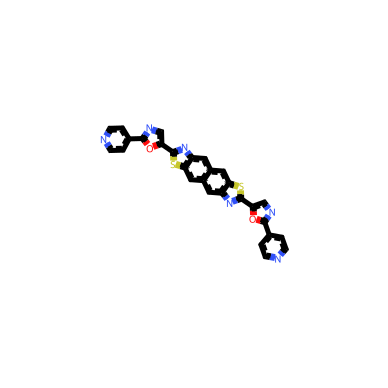 c1cc(-c2ncc(-c3nc4cc5cc6sc(-c7cnc(-c8ccncc8)o7)nc6cc5cc4s3)o2)ccn1